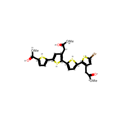 COC(=O)Cc1cc(Br)sc1-c1ccc(-c2sc(-c3ccc(C(=O)OC)s3)cc2CC(=O)OC)s1